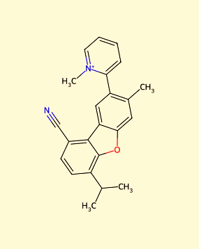 Cc1cc2oc3c(C(C)C)ccc(C#N)c3c2cc1-c1cccc[n+]1C